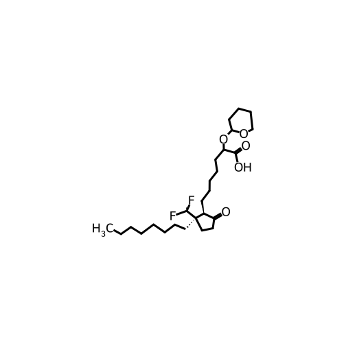 CCCCCCCC[C@@]1([C](F)F)CCC(=O)[C@@H]1CCCCCC(OC1CCCCO1)C(=O)O